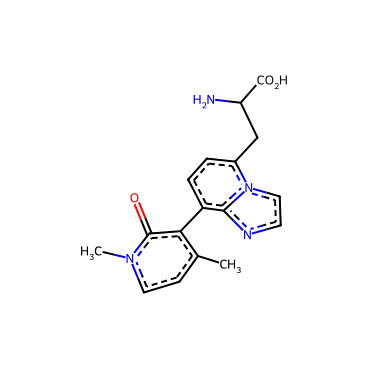 Cc1ccn(C)c(=O)c1-c1ccc(CC(N)C(=O)O)n2ccnc12